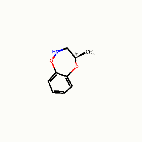 C[C@@H]1CNOc2ccccc2O1